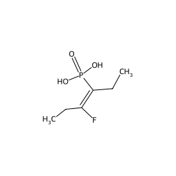 CCC(F)=C(CC)P(=O)(O)O